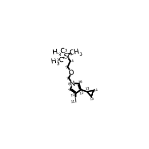 C[Si](C)(C)CCOCn1cc(I)c(C2CC2)c1